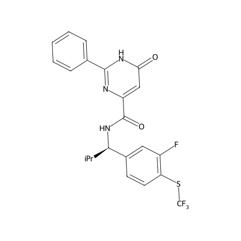 CC(C)[C@@H](NC(=O)c1cc(=O)[nH]c(-c2ccccc2)n1)c1ccc(SC(F)(F)F)c(F)c1